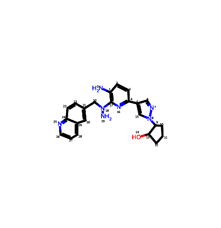 Nc1ccc(-c2cnn(C3CCCC3O)c2)nc1N(N)Cc1ccc2ncccc2c1